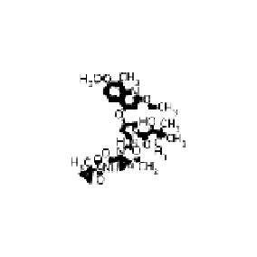 C=C[C@@H]1C[C@]1(NC(=O)[C@@H]1C[C@@H](Oc2cc(OCC)nc3c(C)c(OC)ccc23)CN1C(=O)[C@@H](O)C(C)(C)C)C(=O)NS(=O)(=O)C1(C)CC1